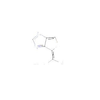 CCC/C(C(=O)O)=c1\scc2c1=NC=N2